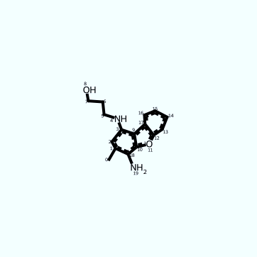 Cc1cc(NCCCO)c2c(oc3ccccc32)c1N